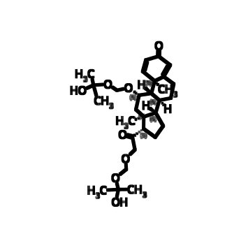 CC(C)(O)OCOCC(=O)[C@H]1CC[C@H]2[C@@H]3CCC4=CC(=O)C=C[C@]4(C)[C@H]3[C@@H](OCOC(C)(C)O)C[C@]12C